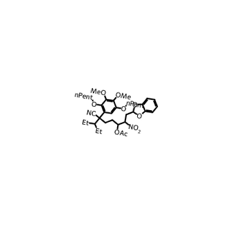 CCCCCOc1cc(C(C#N)(CCC(OC(C)=O)C(CC2Oc3ccccc3O2)[N+](=O)[O-])C(CC)CC)c(OCCCCC)c(OC)c1OC